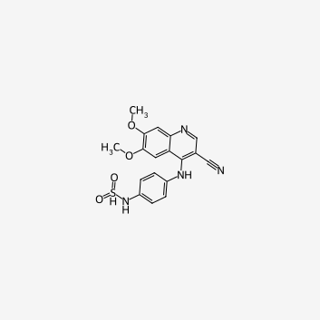 COc1cc2ncc(C#N)c(Nc3ccc(N[SH](=O)=O)cc3)c2cc1OC